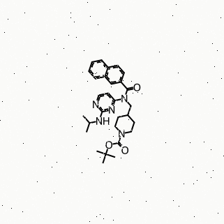 CC(C)Nc1nccc(N(CC2CCN(C(=O)OC(C)(C)C)CC2)C(=O)c2ccc3ccccc3c2)n1